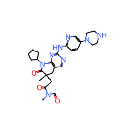 CN(C=O)C(=O)CC1(C)Cc2cnc(Nc3ccc(N4CCNCC4)cn3)nc2N(C2CCCC2)C1=O